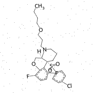 CCCCOCCCN1CCC[C@@]2(S(=O)(=O)c3ccc(Cl)cc3)c3c(F)ccc(F)c3OC[C@@H]12